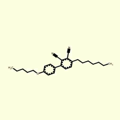 CCCCCCCc1ccc(-c2ccc(OCCCCC)cc2)c(C#N)c1C#N